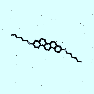 CCCCCCSc1ccc2c(ccc3c2ccc2c4ccc(SCCCCCC)cc4ccc23)c1